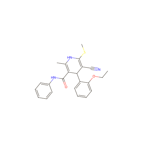 CCOc1ccccc1C1C(C#N)=C(SC)NC(C)=C1C(=O)Nc1ccccc1